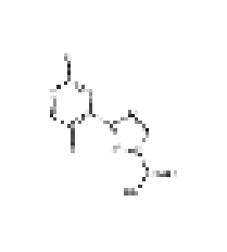 [NH]C(=O)n1cnc(-c2cc(F)ccc2F)n1